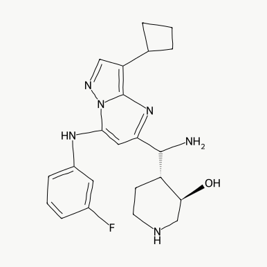 NC(c1cc(Nc2cccc(F)c2)n2ncc(C3CCC3)c2n1)[C@H]1CCNC[C@@H]1O